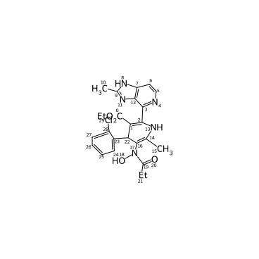 CCOC(=O)C1=C(c2nccc3[nH]c(C)nc23)NC(C)=C(N(O)C(=O)CC)C1c1ccccc1Cl